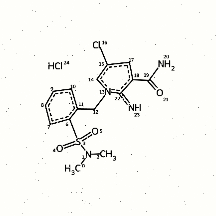 CN(C)S(=O)(=O)c1ccccc1Cn1cc(Cl)cc(C(N)=O)c1=N.Cl